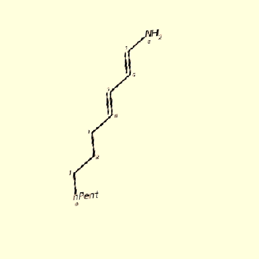 CCCCCCCCC=CC=CN